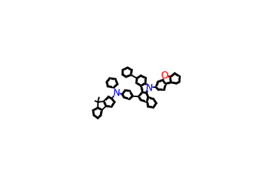 CC1(C)c2ccccc2-c2ccc(N(c3ccccc3)c3ccc(-c4cc5ccccc5c5c4c4cc(-c6ccccc6)ccc4n5-c4ccc5c(c4)oc4ccccc45)cc3)cc21